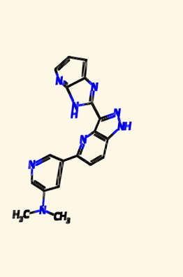 CN(C)c1cncc(-c2ccc3[nH]nc(-c4nc5cccnc5[nH]4)c3n2)c1